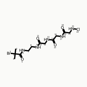 CC(C)(Br)C(=O)NCCNC(=O)CNC(=O)CNC(=O)CNCl